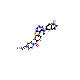 O=C(O)N1CCN(C(=O)C2CCc3c(sc4ncnc(Nc5ccc6[nH]ncc6c5)c34)C2)CC1